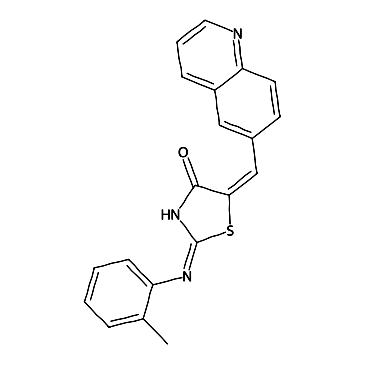 Cc1ccccc1N=C1NC(=O)C(=Cc2ccc3ncccc3c2)S1